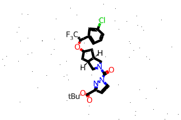 CC(C)(C)OC(=O)c1ccn(C(=O)N2C[C@H]3CC(OC(c4cccc(Cl)c4)C(F)(F)F)C[C@H]3C2)n1